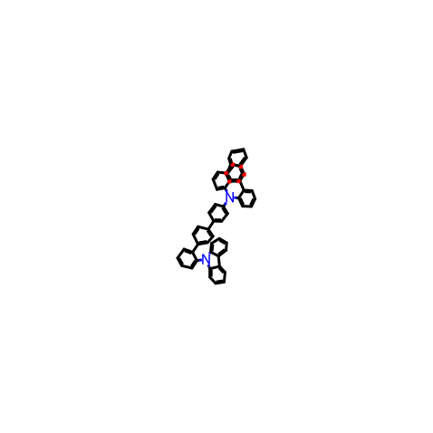 c1ccc(N(c2ccc(-c3ccc(-c4ccccc4-n4c5ccccc5c5ccccc54)cc3)cc2)c2cccc3ccccc23)c(-c2ccc3ccccc3c2)c1